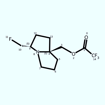 O=C(OC[C@@]12CCCN1[C@H](CF)CC2)C(F)(F)F